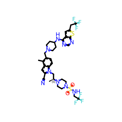 Cc1c(CN2CCC(Nc3ncnc4sc(CC(F)(F)F)cc34)CC2)ccc2c1cc(C#N)n2C[C@H](C)N1CCN(S(=O)(=O)NCC(F)(F)F)CC1